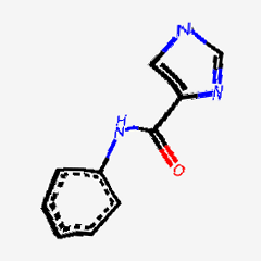 O=C(Nc1ccccc1)C1=C[N]C=N1